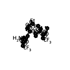 CCOc1ccccc1CNC(=O)c1ccc(C)n(-c2cccc(C(F)(F)F)c2)c1=O.Cc1ccc(C(=O)NCc2cccc3ccccc23)c(=O)n1-c1cccc(C(F)(F)F)c1.Cc1ccc(CNC(=O)c2c(C3N=CC=CC3C(N)=O)cc(C)n(-c3cccc(C(F)(F)F)c3)c2=O)cc1.Cc1cccc(CNC(=O)c2ccc(C)n(-c3cccc(C(F)(F)F)c3)c2=O)c1